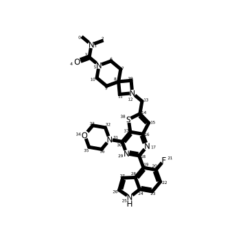 CN(C)C(=O)N1CCC2(CC1)CN(Cc1cc3nc(-c4c(F)ccc5[nH]ccc45)nc(N4CCOCC4)c3s1)C2